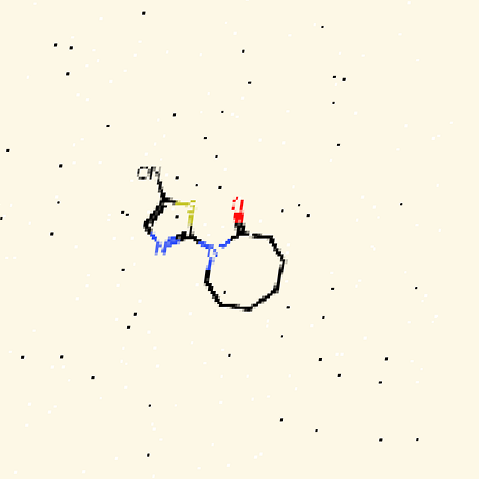 O=Nc1cnc(N2CCCCCCC2=O)s1